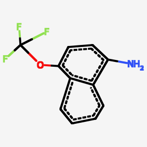 Nc1ccc(OC(F)(F)F)c2ccccc12